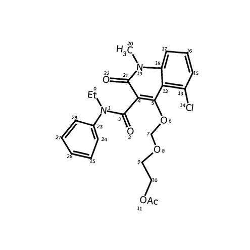 CCN(C(=O)c1c(OCOCCOC(C)=O)c2c(Cl)cccc2n(C)c1=O)c1ccccc1